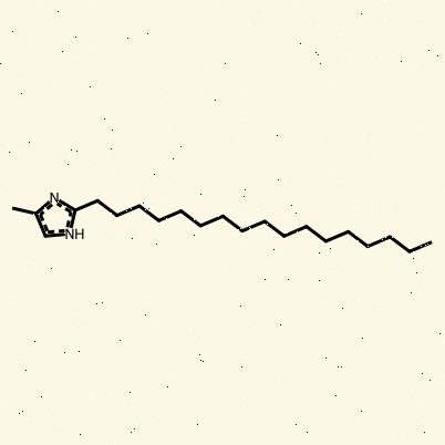 CCCCCCCCCCCCCCCCCc1nc(C)c[nH]1